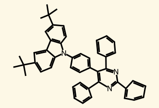 CC(C)(C)c1ccc2c(c1)c1cc(C(C)(C)C)ccc1n2-c1ccc(-c2c(-c3ccccc3)nc(-c3ccccc3)nc2-c2ccccc2)cc1